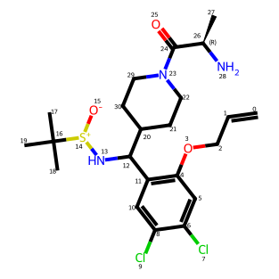 C=CCOc1cc(Cl)c(Cl)cc1C(N[S+]([O-])C(C)(C)C)C1CCN(C(=O)[C@@H](C)N)CC1